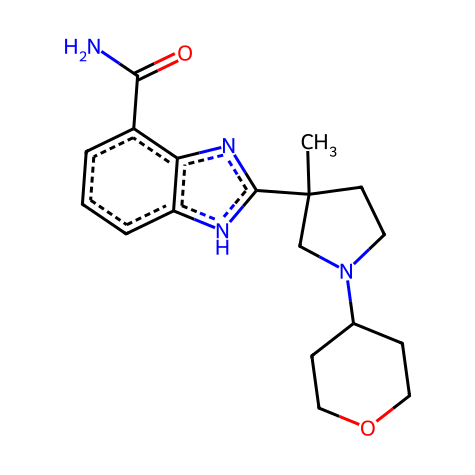 CC1(c2nc3c(C(N)=O)cccc3[nH]2)CCN(C2CCOCC2)C1